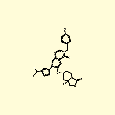 O=C1OC[C@@H]2C[C@@H](Oc3cc4c(=O)n(Cc5ccc(Cl)cc5)cnc4cc3-c3cnn(C(F)F)c3)CCN12